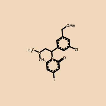 COCc1cc(Cl)cc(C(CN(C)C)n2ccc(I)cc2=O)c1